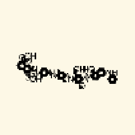 COc1cc(N=Nc2cc(C)c(N=Nc3ccc(N=Nc4cc5c(S(=O)(=O)O)cccc5cc4S(=O)(=O)O)c(C)c3)cc2C)c(CO)cc1N=Nc1ccc2cc(Nc3ccccc3)ccc2c1O